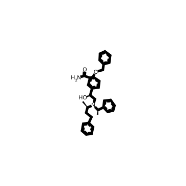 C[C@H](CCc1ccccc1)N(C[C@@H](O)c1ccc(OCc2ccccc2)c(C(N)=O)c1)[C@H](C)c1ccccc1